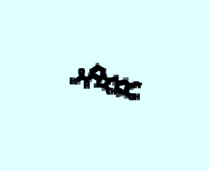 CCC(=O)Nc1cccc2c1CC(C)N2Cc1ccc(O)c(C(C)C)c1